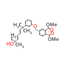 COC(=O)c1ccc(COc2cccc(C(C)(C)C=CC=CC(C)(C)O)c2)cc1C(=O)OC